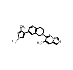 Cc1cc2cncn2nc1N1CCc2ncc(-c3cn(C)nc3C)cc2C1